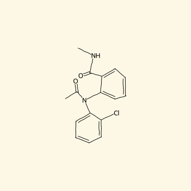 CNC(=O)c1ccccc1N(C(C)=O)c1ccccc1Cl